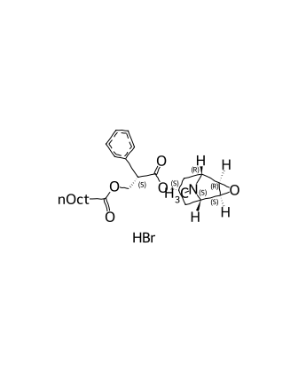 Br.CCCCCCCCC(=O)OC[C@@H](C(=O)O[C@@H]1C[C@@H]2[C@H]3O[C@H]3[C@H](C1)N2C)c1ccccc1